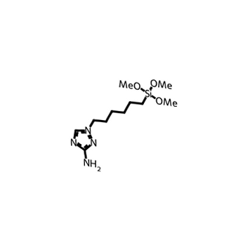 CO[Si](CCCCCCn1cnc(N)n1)(OC)OC